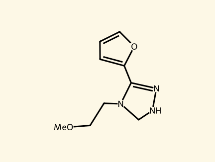 COCCN1CNN=C1c1ccco1